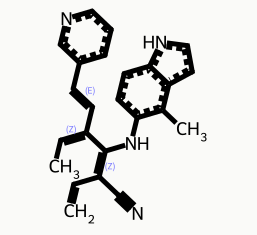 C=C\C(C#N)=C(Nc1ccc2[nH]ccc2c1C)/C(=C\C)/C=C/c1cccnc1